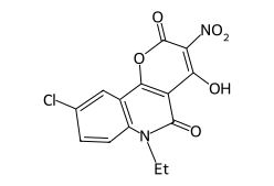 CCn1c(=O)c2c(O)c([N+](=O)[O-])c(=O)oc2c2cc(Cl)ccc21